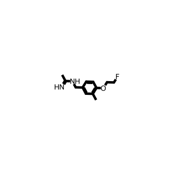 CC(=N)NCc1ccc(OCCF)c(C)c1